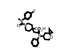 CN(C(=O)N1CCC(CC(=O)N(c2ccccc2)C2CCOC3(CC3)C2)(C(=O)O)CC1)c1ccc(F)cc1